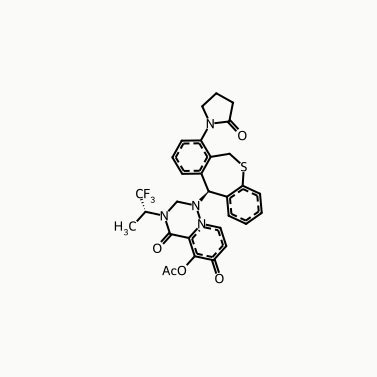 CC(=O)Oc1c2n(ccc1=O)N([C@@H]1c3ccccc3SCc3c1cccc3N1CCCC1=O)CN([C@H](C)C(F)(F)F)C2=O